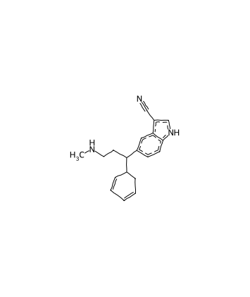 CNCCC(c1ccc2[nH]cc(C#N)c2c1)C1C=CC=CC1